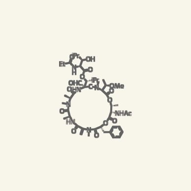 C=C1C(=O)N[C@@H](C)C(=O)N(C)[C@@H](C)C(=O)N[C@@](C=O)([C@H](OC(=O)[C@@H](NC(=O)CC)[C@H](O)C(C)C)C(C)C)CN(C)[C@@H]([C@@H](C)OC)C(=O)O[C@H](C)[C@H](NC(C)=O)C(=O)O[C@H](Cc2ccccc2)C(=O)N1C